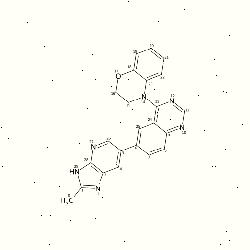 Cc1nc2cc(-c3ccc4ncnc(N5CCOc6ccccc65)c4c3)cnc2[nH]1